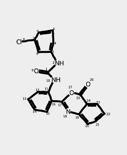 O=C(Nc1cccc(Cl)c1)Nc1ccccc1-c1nc2ccccc2c(=O)o1